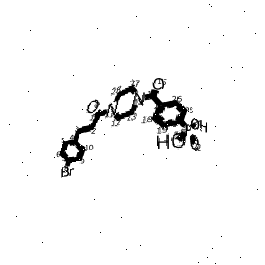 O=C(C=Cc1ccc(Br)cc1)N1CCN(C(=O)c2ccc(P(=O)(O)O)cc2)CC1